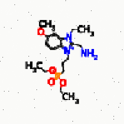 CCOP(=O)(CCC[n+]1c(CN)n(CC)c2cc(OC)ccc21)OCC